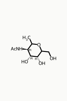 CC(=O)N[C@H]1C(C)OC(CO)[C@H](O)[C@@H]1O